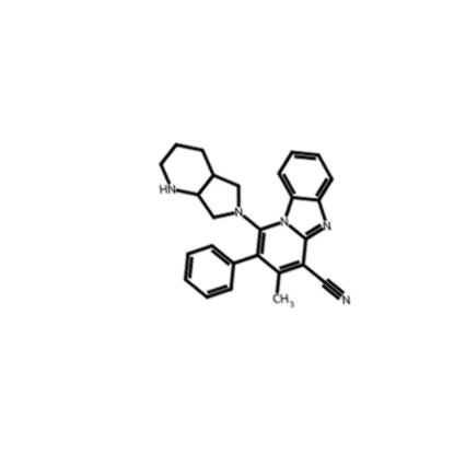 Cc1c(-c2ccccc2)c(N2CC3CCCNC3C2)n2c(nc3ccccc32)c1C#N